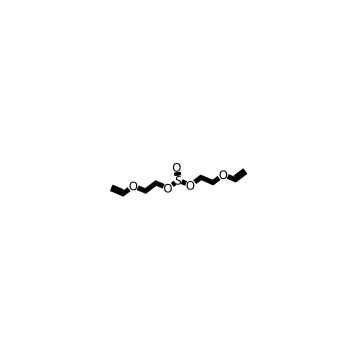 C=COCCOS(=O)OCCOC=C